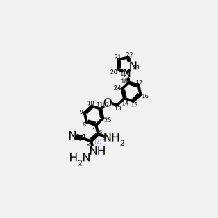 N#C/C(NN)=C(/N)c1cccc(OCc2cccc(-n3cccn3)c2)c1